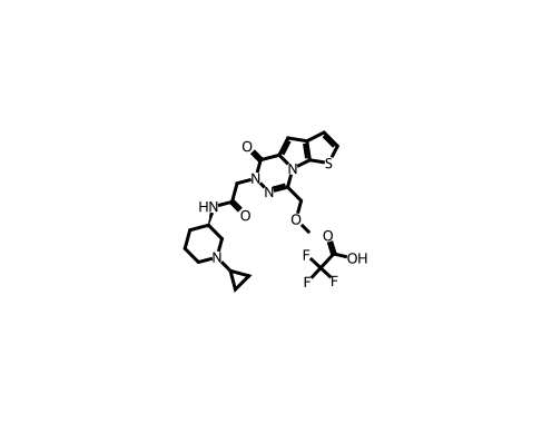 COCc1nn(CC(=O)N[C@@H]2CCCN(C3CC3)C2)c(=O)c2cc3ccsc3n12.O=C(O)C(F)(F)F